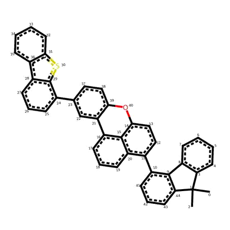 CC1(C)c2ccccc2-c2c(-c3ccc4c5c(cccc35)-c3cc(-c5cccc6c5sc5ccccc56)ccc3O4)cccc21